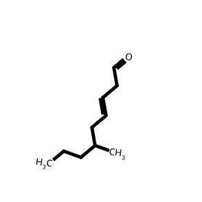 CCCC(C)CC=CCC=O